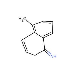 Cc1cccc2c1C=CCC2=N